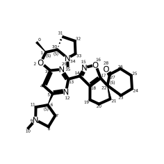 C[C@H](Oc1cc([C@H]2CCN(C)C2)nc(-c2noc3c2CCC[C@@]32CCCCC2=O)n1)[C@@H]1CCCN1C